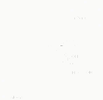 CCCCC/C=C\C/C=C\C/C=C\C/C=C\CCCCCC(=O)O[C@H](COC(=O)CCCCCCCCCCC/C=C\C/C=C\CCCCC)COP(=O)(O)OC[C@@H](O)CO